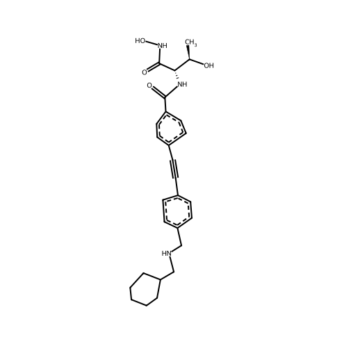 C[C@@H](O)[C@H](NC(=O)c1ccc(C#Cc2ccc(CNCC3CCCCC3)cc2)cc1)C(=O)NO